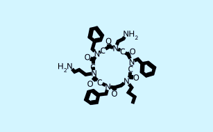 CCCCN1CC(=O)N(Cc2ccccc2)CC(=O)N(CCCN)CC(=O)N(Cc2ccccc2)CC(=O)N(CCN)CC(=O)N(Cc2ccccc2)CC1=O